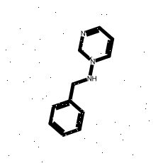 C1=CN(NCc2ccccc2)CN=C1